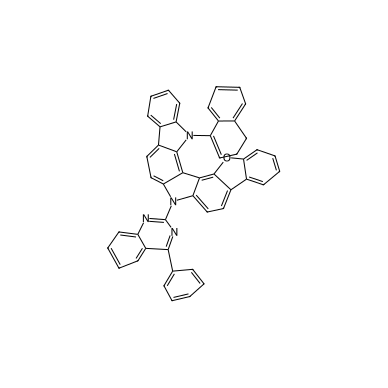 C1=C(n2c3ccccc3c3ccc4c(c5c6oc7ccccc7c6ccc5n4-c4nc(-c5ccccc5)c5ccccc5n4)c32)c2ccccc2CC1